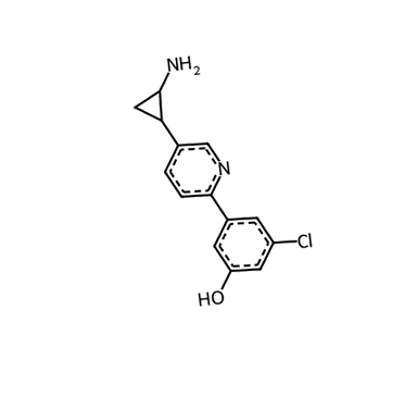 NC1CC1c1ccc(-c2cc(O)cc(Cl)c2)nc1